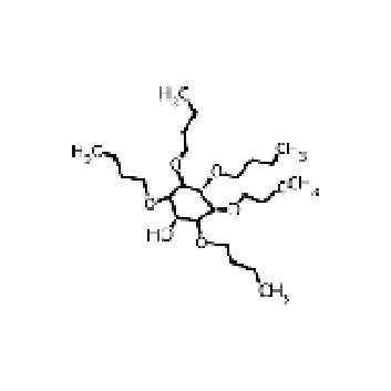 CCCCOC1C(OCCCC)[C@@H](OCCCC)[C@@H](OCCCC)C(OCCCC)[C@H]1O